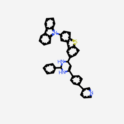 C1=C(c2ccc(-c3cccnc3)cc2)NC(c2ccccc2)NC1c1ccc2sc3ccc(-n4c5ccccc5c5ccccc54)cc3c2c1